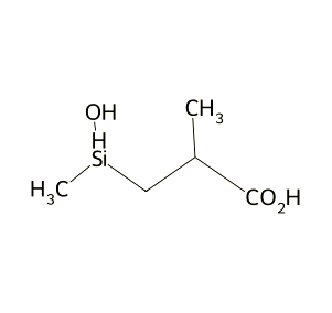 CC(C[SiH](C)O)C(=O)O